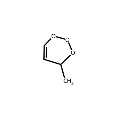 CC1C=COOO1